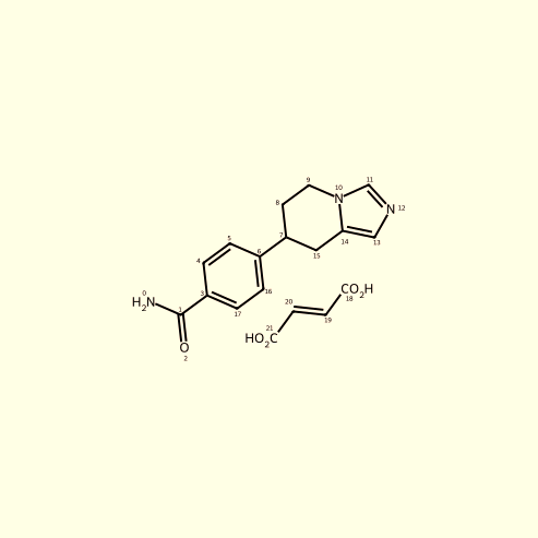 NC(=O)c1ccc(C2CCn3cncc3C2)cc1.O=C(O)/C=C/C(=O)O